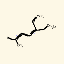 C=C/C(=C\C=C(/C)I)CC(=O)OCC